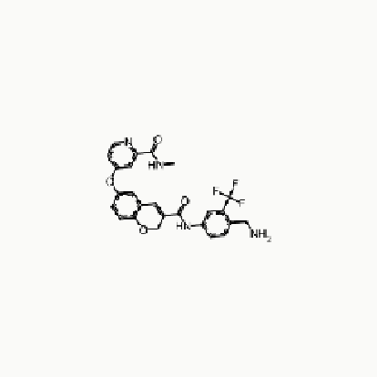 CNC(=O)c1cc(Oc2ccc3c(c2)C=C(C(=O)Nc2ccc(CN)c(C(F)(F)F)c2)CO3)ccn1